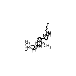 CNc1nc(N[C@@H]2CCN(C(C)=O)CC2(F)F)nn2ccc(-c3ccc4nnn(CCCF)c4n3)c12